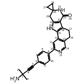 CC(C)(N)C#Cc1ccc(-c2cc3c(cn2)CCc2c-3[nH]c3c2C(=O)NC2(CC2)C3)cc1